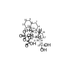 C[C@]12CC[C@H]3[C@@H](CCC4CCCC[C@@]43C)[C@@H]1CC[C@@H]2CC(O)O.O=S(=O)(O)OS(=O)(=O)O